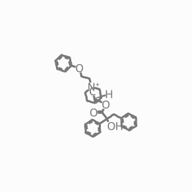 O=C(O[C@H]1C[N+]2(CCOc3ccccc3)CCC1CC2)C(O)(Cc1ccccc1)c1ccccc1